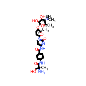 C[C@H]1O[C@H](O[C@H]2CC[C@H](n3ccc(NC(=O)c4ccc(NC(=O)[C@@](C)(N)CO)cc4)nc3=O)O[C@@H]2C)[C@H](O)[C@@H](O)[C@@H]1N(C)C